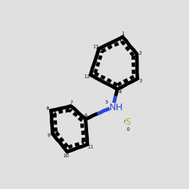 [S].c1ccc(Nc2ccccc2)cc1